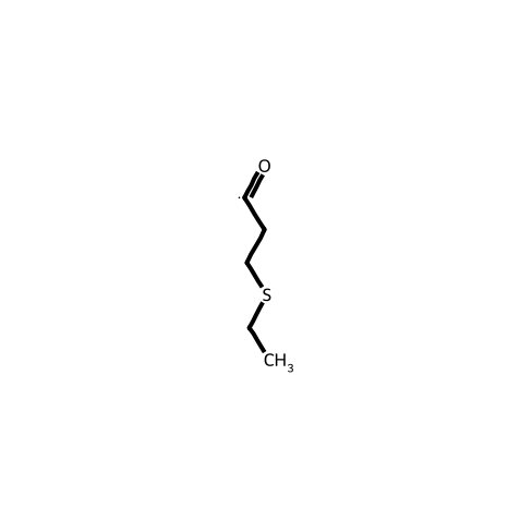 CCSCC[C]=O